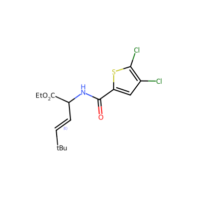 CCOC(=O)C(/C=C/C(C)(C)C)NC(=O)c1cc(Cl)c(Cl)s1